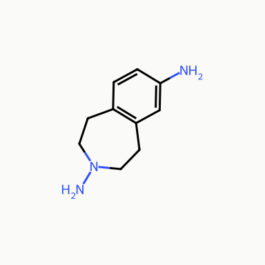 Nc1ccc2c(c1)CCN(N)CC2